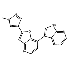 Cn1cc(-c2cc3nccc(-c4c[nH]c5ncccc45)c3o2)cn1